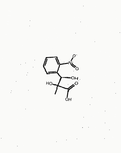 CC(O)(C(=O)O)[C@H](O)c1ccccc1[N+](=O)[O-]